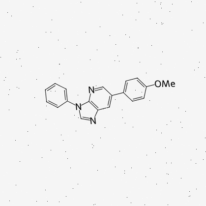 COc1ccc(-c2cnc3c(c2)ncn3-c2ccccc2)cc1